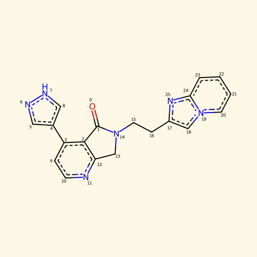 O=C1c2c(-c3cn[nH]c3)ccnc2CN1CCc1cn2ccccc2n1